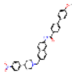 COc1ccc(-c2ccc(C(=O)Nc3ccc4cc(CN5CCC(c6ccc([N+](=O)[O-])cc6)CC5)ccc4c3)cc2)cc1